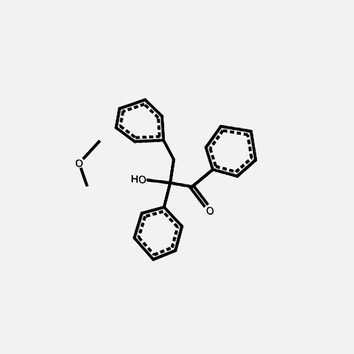 COC.O=C(c1ccccc1)C(O)(Cc1ccccc1)c1ccccc1